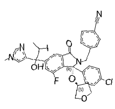 CC(I)C(O)(c1cc(F)c2c(c1)C(=O)N(Cc1ccc(C#N)cc1)[C@@]2(O[C@H]1CCOC1)c1ccc(Cl)cc1)c1cn(C)cn1